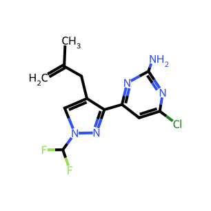 C=C(C)Cc1cn(C(F)F)nc1-c1cc(Cl)nc(N)n1